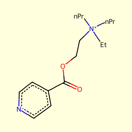 CCC[N+](CC)(CCC)CCOC(=O)c1ccncc1